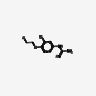 N=C(N)Nc1ccc(OCCF)c(Cl)c1